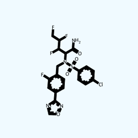 NC(=O)C(C(F)C(F)CF)N(Cc1ccc(-c2ncon2)cc1F)S(=O)(=O)c1ccc(Cl)cc1